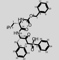 CC(C)C[C@H](NC(=O)OCc1ccccc1)C(=O)N[C@@H](Cc1ccccc1)C(=O)CP(=O)(O)c1ccccc1